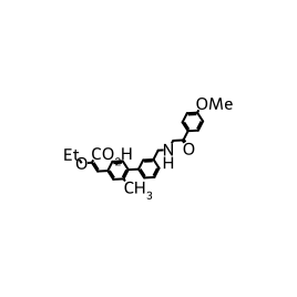 CCO/C(=C/c1ccc(-c2cccc(CNCC(=O)c3ccc(OC)cc3)c2)c(C)c1)C(=O)O